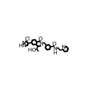 CC(O)c1cn(Cc2cccc(C(=O)NCCc3ccccn3)c2)c(=O)c2ccc(-c3c[nH]nc3Cl)cc12